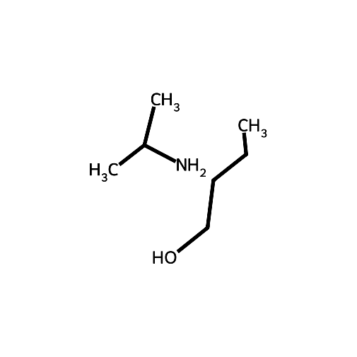 CC(C)N.CCCCO